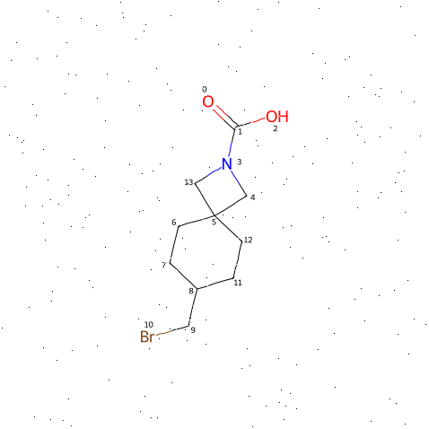 O=C(O)N1CC2(CCC(CBr)CC2)C1